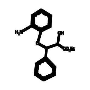 CCOC(=O)C(O)C(Oc1ccccc1N)c1ccccc1